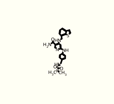 CN(C)S(=O)(=O)NCc1ccc(Nc2cc(NCc3cccc4ccsc34)c(C(N)=O)cn2)cc1